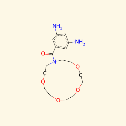 Nc1cc(N)cc(C(=O)N2CCOCCOCCOCCOCC2)c1